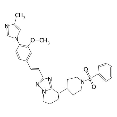 COc1cc(/C=C/c2nc3n(n2)CCCC3C2CCN(S(=O)(=O)c3ccccc3)CC2)ccc1-n1cnc(C)c1